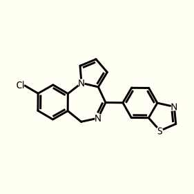 Clc1ccc2c(c1)-n1cccc1C(c1ccc3ncsc3c1)=NC2